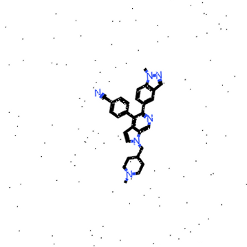 CN1CCC(Cn2ccc3c(-c4ccc(C#N)cc4)c(-c4ccc5c(cnn5C)c4)ncc32)CC1